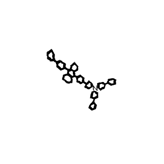 c1ccc(-c2ccc(-c3c4c(c(-c5ccc(-c6ccc(N(c7ccc(-c8ccccc8)cc7)c7ccc(-c8ccccc8)cc7)cc6)cc5)c5c3CCCC5)CCCC4)cc2)cc1